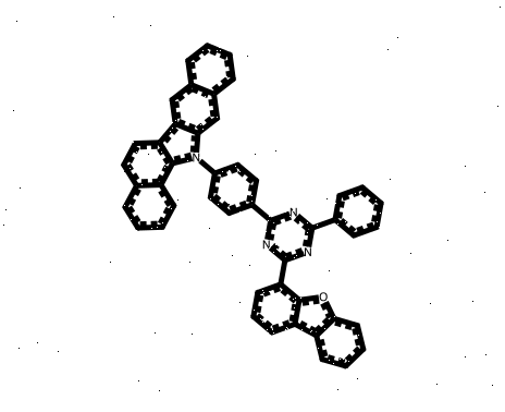 c1ccc(-c2nc(-c3ccc(-n4c5cc6ccccc6cc5c5ccc6ccccc6c54)cc3)nc(-c3cccc4c3oc3ccccc34)n2)cc1